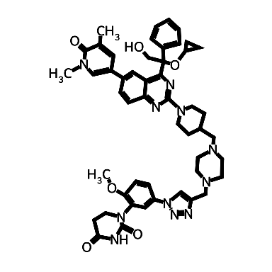 COc1ccc(-n2cc(CN3CCN(CC4CCN(c5nc(C(CO)(OC6CC6)c6ccccc6)c6cc(-c7cc(C)c(=O)n(C)c7)ccc6n5)CC4)CC3)nn2)cc1N1CCC(=O)NC1=O